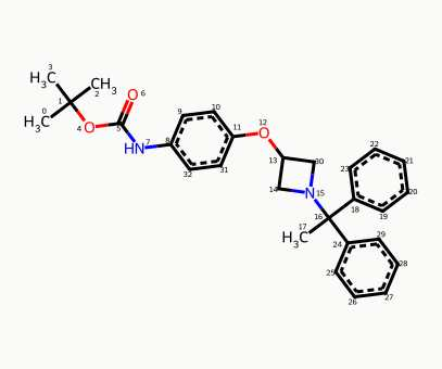 CC(C)(C)OC(=O)Nc1ccc(OC2CN(C(C)(c3ccccc3)c3ccccc3)C2)cc1